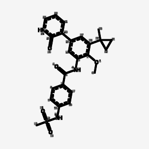 COc1c(NC(=O)c2ccc(NS(C)(=O)=O)cc2)cc(-c2ccc[nH]c2=O)cc1C1(C)CC1